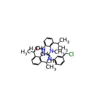 CC(C)c1cccc(C(C)C)c1NC(=Nc1cccc(CCl)c1)N(C)c1c(C(C)C)cccc1C(C)C